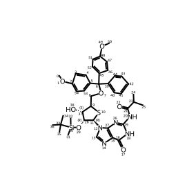 COc1ccc(C(OCC2S[C@@H](n3cnc4c(=O)[nH]c(NC(=O)C(C)C)nc43)[C@H](O[Si](C)(C)C(C)(C)C)[C@@H]2O)(c2ccccc2)c2ccc(OC)cc2)cc1